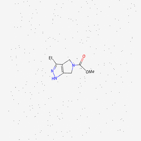 CCc1n[nH]c2c1CN(C(=O)OC)C2